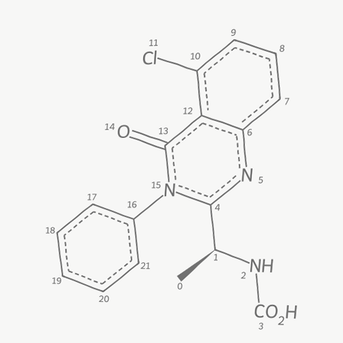 C[C@H](NC(=O)O)c1nc2cccc(Cl)c2c(=O)n1-c1ccccc1